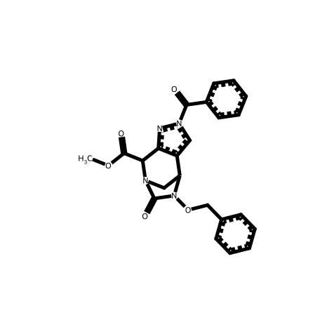 COC(=O)C1c2nn(C(=O)c3ccccc3)cc2C2CN1C(=O)N2OCc1ccccc1